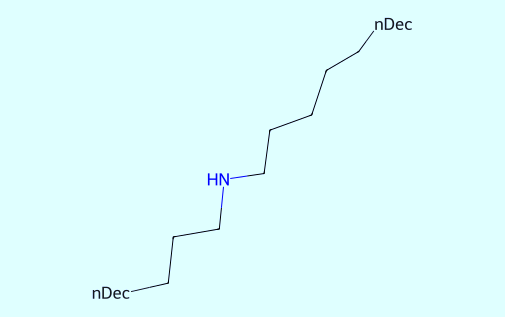 CCCCCCCCCCCCCCCNCCCCCCCCCCCCC